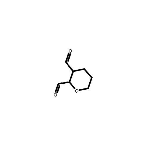 O=CC1CCCOC1C=O